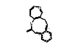 C=C1/C=c2/cccc/c2=C/CC2=C(C=C=CN=C2)S1